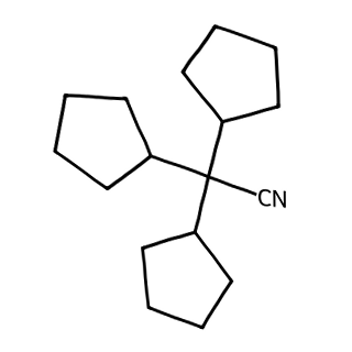 N#CC(C1CCCC1)(C1CCCC1)C1CCCC1